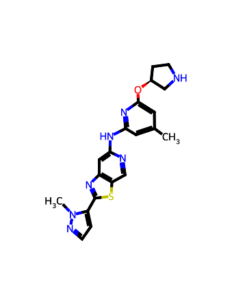 Cc1cc(Nc2cc3nc(-c4ccnn4C)sc3cn2)nc(O[C@H]2CCNC2)c1